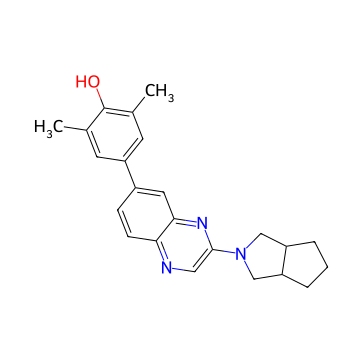 Cc1cc(-c2ccc3ncc(N4CC5CCCC5C4)nc3c2)cc(C)c1O